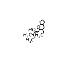 CCC(CC1CCCC1)C(=O)/C=C(\O)C(C)CC